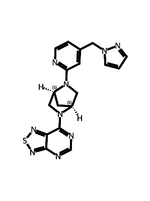 c1cnn(Cc2ccnc(N3C[C@@H]4C[C@H]3CN4c3ncnc4nsnc34)c2)c1